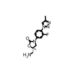 Cc1cn(-c2ccc(N3C[C@H](CN)OC3=O)cc2F)nn1